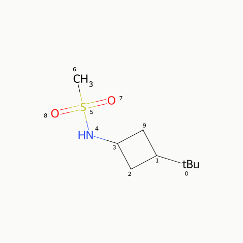 CC(C)(C)C1CC(NS(C)(=O)=O)C1